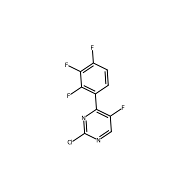 Fc1cnc(Cl)nc1-c1ccc(F)c(F)c1F